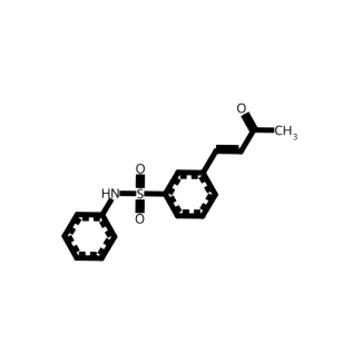 CC(=O)/C=C/c1cccc(S(=O)(=O)Nc2ccccc2)c1